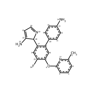 Cc1cccc(Oc2cc(-c3ccc(N)cc3)c(C3N=CC=C3N)cc2F)n1